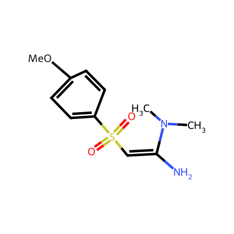 COc1ccc(S(=O)(=O)C=C(N)N(C)C)cc1